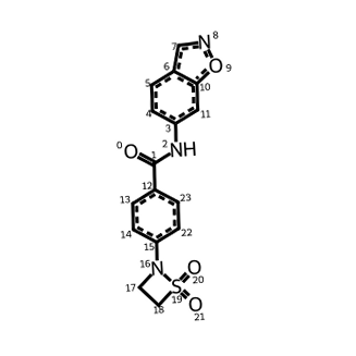 O=C(Nc1ccc2cnoc2c1)c1ccc(N2CCS2(=O)=O)cc1